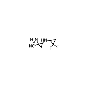 N#CC1(N)CC1NC1CC1(F)F